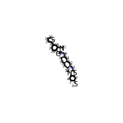 CSc1ccc2c(c1)SC(/C=C1/C=C3C=C(/C=C4\Oc5ccc(-c6cccs6)cc5N4C)CCC3CC1)N2C